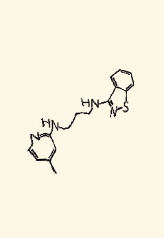 Cc1ccnc(NCCCNc2nsc3ccccc23)c1